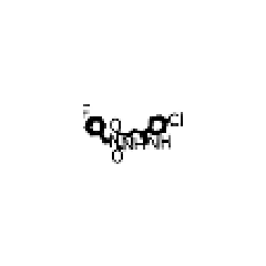 O=C1NC(=Cc2c[nH]c3cc(Cl)ccc23)C(=O)N1Cc1ccc(F)cc1